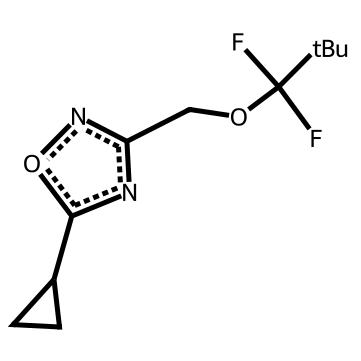 CC(C)(C)C(F)(F)OCc1noc(C2CC2)n1